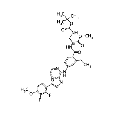 CCc1cc(Nc2nccn3c(-c4ccc(OC)c(F)c4F)cnc23)ccc1C(=O)N[C@@H](CNC(=O)OC(C)(C)C)C(=O)OC